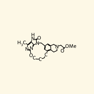 COC(=O)CN1CCc2c3cc(cc2C1)Cn1c(=O)[nH]c2c(C)nc(nc21)OCCCCC3